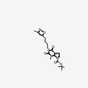 Cc1cc(CCCCn2c(=O)c3ccn(C(=O)OC(C)(C)C)c3n(C)c2=O)on1